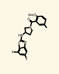 COc1ccc(C)cc1C(=O)N1CCC(Nc2nc3cc(F)cc(F)c3s2)C1